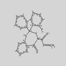 C=CC(=O)N1CC(c2ccccc2)(c2ccccc2F)Sc2ccccc2C1=O